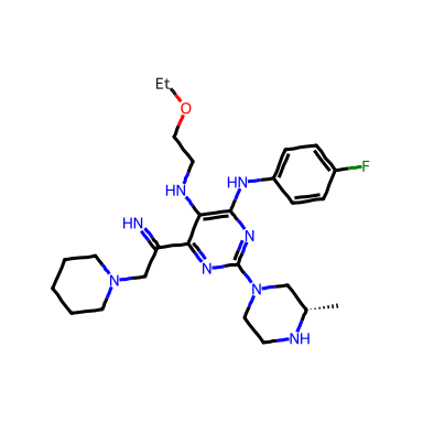 CCOCCNc1c(Nc2ccc(F)cc2)nc(N2CCN[C@@H](C)C2)nc1C(=N)CN1CCCCC1